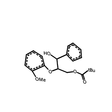 COc1ccccc1OC(COC(=O)C(C)(C)C)C(O)c1ccccc1